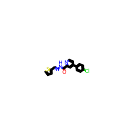 O=C(N/N=C/c1cccs1)c1cc(-c2ccc(Cl)cc2)ccn1